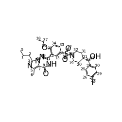 CCCc1nc(C)c2c(=O)[nH]c(-c3cc(S(=O)(=O)N4CCC(C(O)c5ccc(F)cc5)CC4)ccc3OCC)nn12